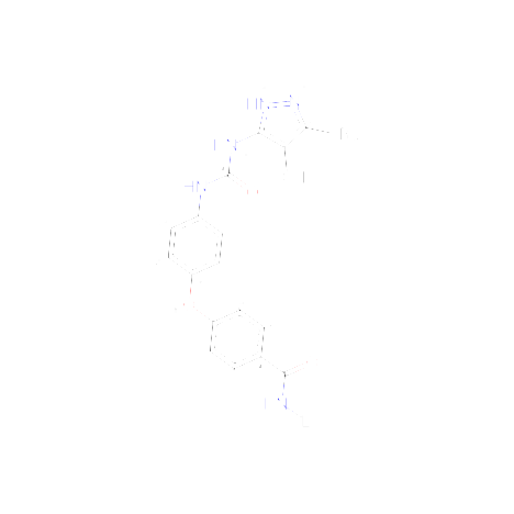 CCNC(=O)c1ccc(Oc2ccc(NC(=O)Nc3[nH]nc(C(C)(C)C)c3C)cc2)cc1